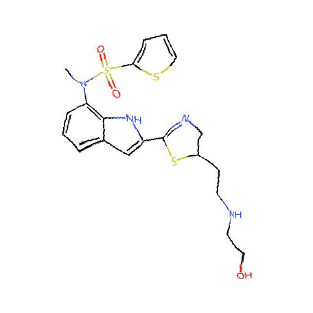 CN(c1cccc2cc(C3=NCC(CCNCCO)S3)[nH]c12)S(=O)(=O)c1cccs1